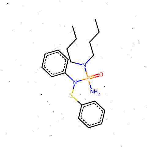 CCCCN(CCCC)P(N)(=O)N(Sc1ccccc1)c1ccccc1